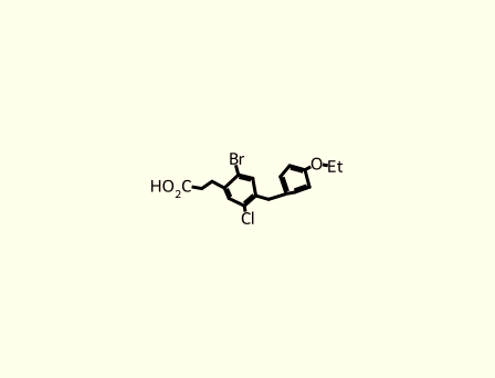 CCOc1ccc(Cc2cc(Br)c(CCC(=O)O)cc2Cl)cc1